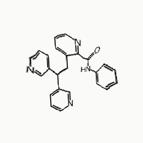 O=C(Nc1ccccc1)c1ncccc1CC(c1cccnc1)c1cccnc1